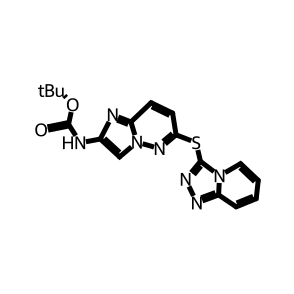 CC(C)(C)OC(=O)Nc1cn2nc(Sc3nnc4ccccn34)ccc2n1